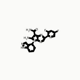 NC(=O)c1c(N)n(-c2cccc3[nH]ncc23)c2ncc(-c3ncc(F)cc3F)nc12